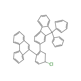 ClC1C=CC(c2cc3ccccc3c3ccccc23)=C(c2ccc3c(c2)C(c2ccccc2)(c2ccccc2)c2ccccc2-3)C1